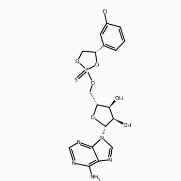 Nc1ncnc2c1ncn2[C@@H]1O[C@H](COP2(=S)OC[C@H](c3cccc(Cl)c3)O2)[C@@H](O)[C@H]1O